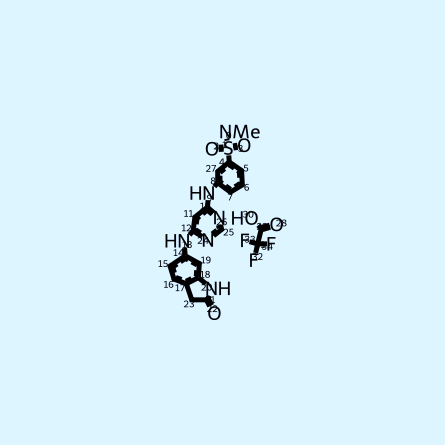 CNS(=O)(=O)c1cccc(Nc2cc(Nc3ccc4c(c3)NC(=O)C4)ncn2)c1.O=C(O)C(F)(F)F